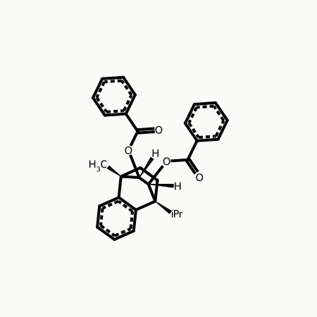 CC(C)[C@@]12CC[C@@](C)(c3ccccc31)[C@H](OC(=O)c1ccccc1)[C@@H]2OC(=O)c1ccccc1